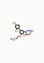 CCCOc1cc(-c2ccc(Cl)cc2Cl)cc2c1OC1CCNCC21